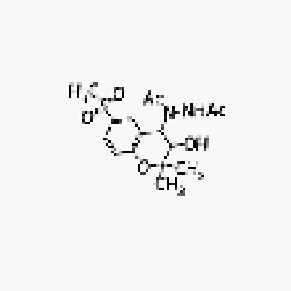 CC(=O)NN(C(C)=O)C1c2cc(S(C)(=O)=O)ccc2OC(C)(C)C1O